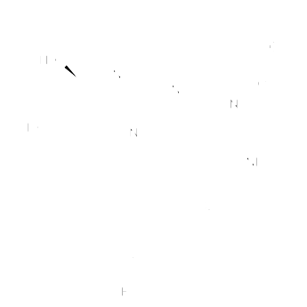 Cc1cc(F)ccc1-c1nc(N[C@H](C)CO)nc2c1CNC[N+]2([O-])c1ccccc1Cl